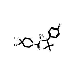 CN(C(=O)N1CCC(C)(O)CC1)[C@@H](c1ccc(Br)cc1)C(F)(F)F